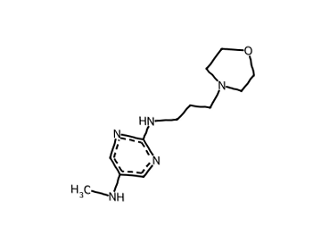 CNc1cnc(NCCCN2CCOCC2)nc1